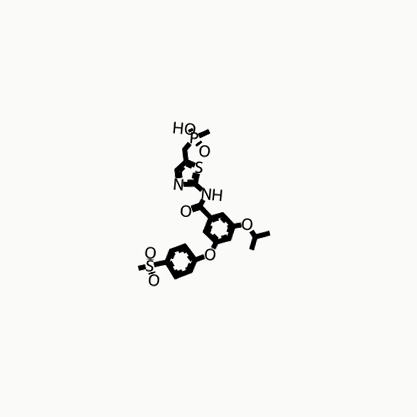 CC(C)Oc1cc(Oc2ccc(S(C)(=O)=O)cc2)cc(C(=O)Nc2ncc(CP(C)(=O)O)s2)c1